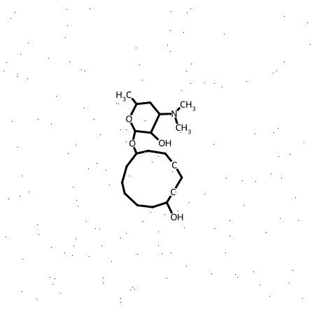 CC1CC(N(C)C)C(O)C(OC2CCCCCC(O)CCCCC2)O1